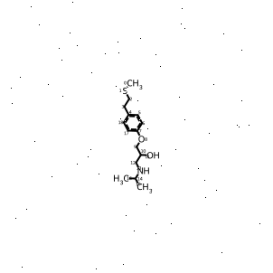 CSCCc1ccc(OCC(O)CNC(C)C)cc1